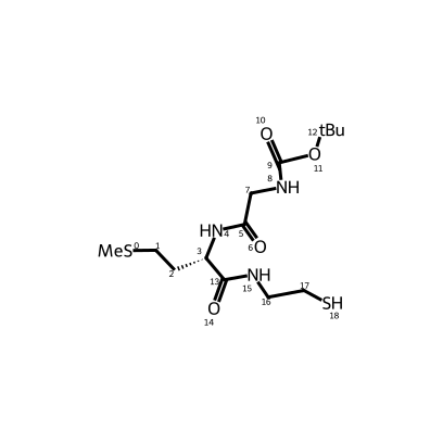 CSCC[C@H](NC(=O)CNC(=O)OC(C)(C)C)C(=O)NCCS